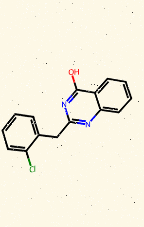 Oc1nc(Cc2ccccc2Cl)nc2ccccc12